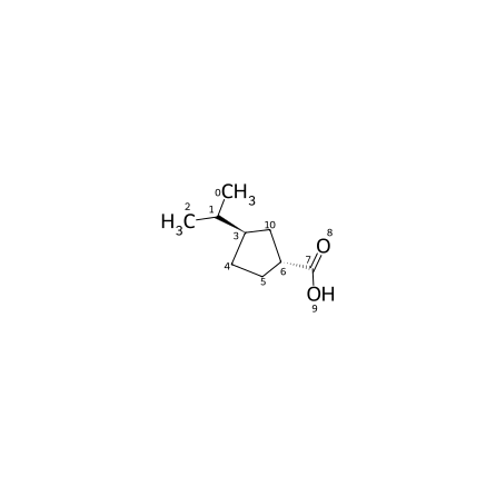 CC(C)[C@@H]1CC[C@@H](C(=O)O)C1